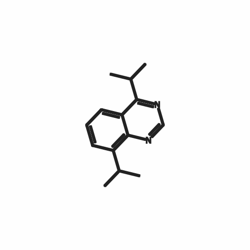 CC(C)c1ncnc2c(C(C)C)cccc12